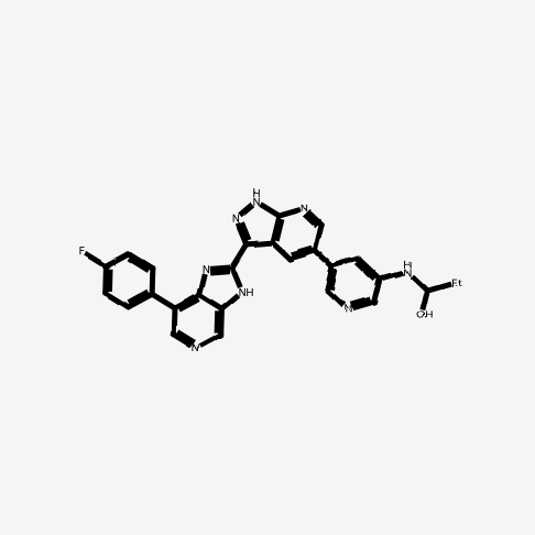 CCC(O)Nc1cncc(-c2cnc3[nH]nc(-c4nc5c(-c6ccc(F)cc6)cncc5[nH]4)c3c2)c1